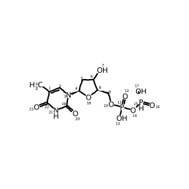 Cc1cn([C@H]2CC(O)[C@@H](COP(=O)(O)O[PH](=O)O)O2)c(=O)[nH]c1=O